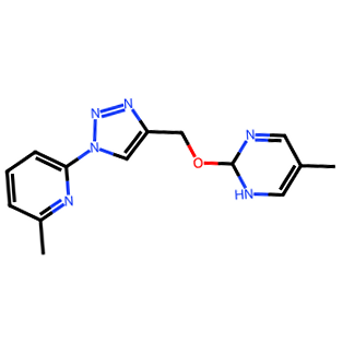 CC1=CNC(OCc2cn(-c3cccc(C)n3)nn2)N=C1